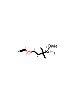 C=COCCC(C)(C)[SiH2]OC